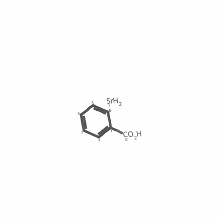 O=C(O)c1ccccc1.[SrH2]